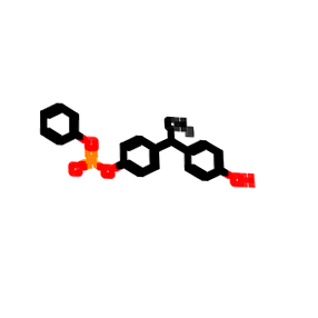 CC(c1ccc(O)cc1)c1ccc(O[PH](=O)Oc2ccccc2)cc1